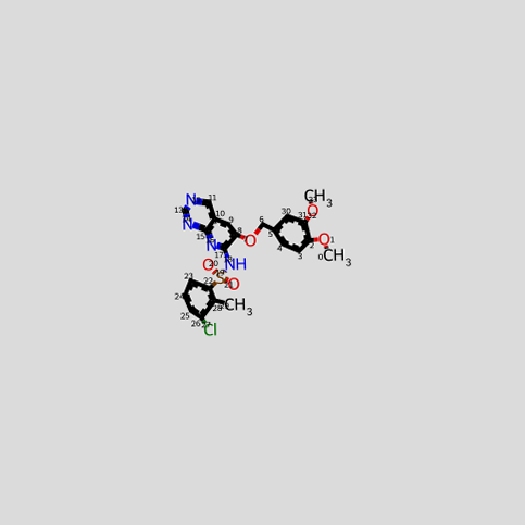 COc1ccc(COc2cc3cncnc3nc2NS(=O)(=O)c2cccc(Cl)c2C)cc1OC